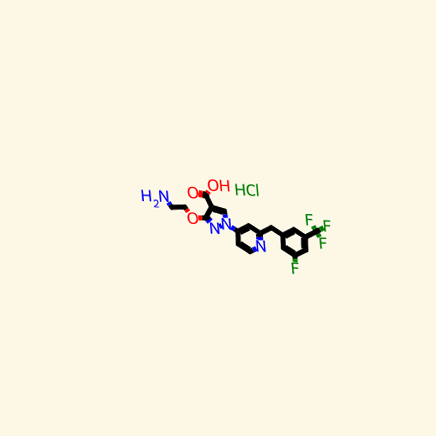 Cl.NCCOc1nn(-c2ccnc(Cc3cc(F)cc(C(F)(F)F)c3)c2)cc1C(=O)O